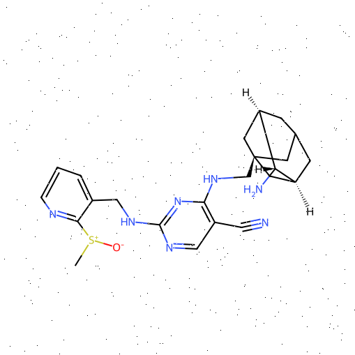 C[S+]([O-])c1ncccc1CNc1ncc(C#N)c(NC[C@]23CC4C[C@H](C2)[C@@H](N)[C@@H](C4)C3)n1